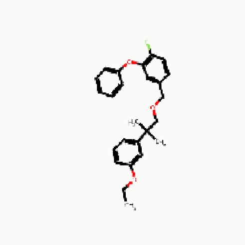 CCOc1cccc(C(C)(C)COCc2ccc(F)c(Oc3ccccc3)c2)c1